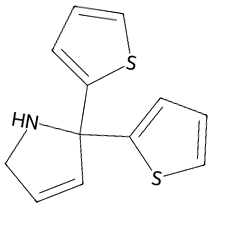 C1=CC(c2cccs2)(c2cccs2)NC1